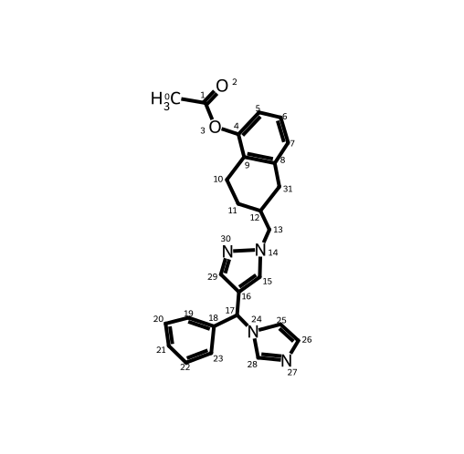 CC(=O)Oc1cccc2c1CCC(Cn1cc(C(c3ccccc3)n3ccnc3)cn1)C2